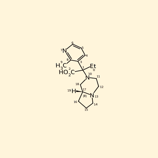 CCC(C(=O)O)(c1cccnc1C)N1CCN2CCC[C@@H]2C1